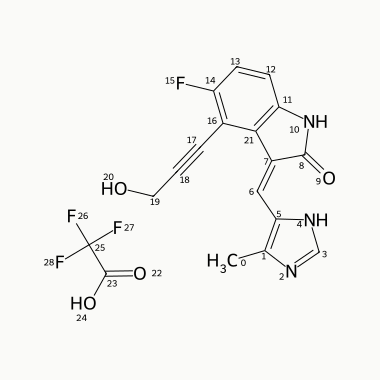 Cc1nc[nH]c1/C=C1\C(=O)Nc2ccc(F)c(C#CCO)c21.O=C(O)C(F)(F)F